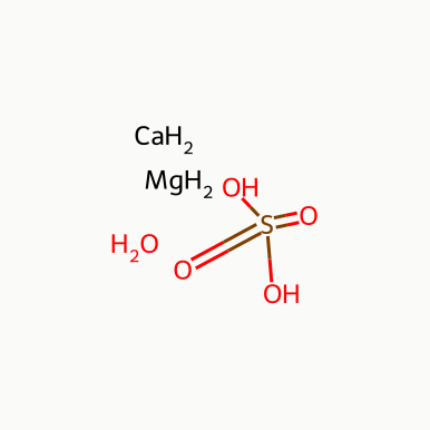 O.O=S(=O)(O)O.[CaH2].[MgH2]